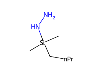 CCCC[Si](C)(C)NN